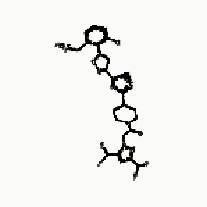 O=C(Cn1nc(C(F)F)cc1C(F)F)N1CCC(c2nc(C3=NOC(c4c(Cl)cccc4CS(=O)(=O)O)C3)cs2)CC1